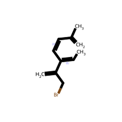 C=C(C)/C=C\C(=C/C)C(=C)CBr